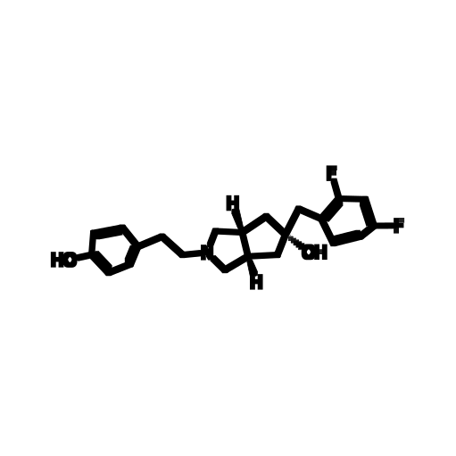 Oc1ccc(CCN2C[C@@H]3C[C@@](O)(Cc4ccc(F)cc4F)C[C@@H]3C2)cc1